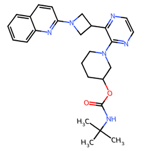 CC(C)(C)NC(=O)OC1CCCN(c2nccnc2C2CN(c3ccc4ccccc4n3)C2)C1